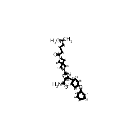 CN(C)CCCC(=O)N1CC2(C1)CN(c1nc(-c3ccc(Oc4ccccc4)cc3)c(C(N)=O)s1)C2